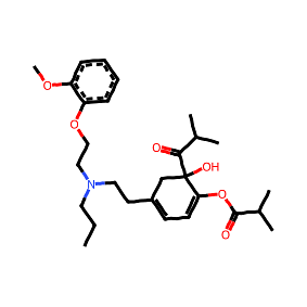 CCCN(CCOc1ccccc1OC)CCC1=CC=C(OC(=O)C(C)C)C(O)(C(=O)C(C)C)C1